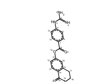 N=C(N)Nc1ccc(C(=O)Oc2ccc3c(c2)CCNC3=O)cc1